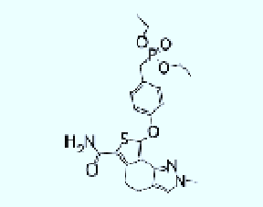 CCOP(=O)(Cc1ccc(Oc2sc(C(N)=O)c3c2-c2nn(C)cc2CC3)cc1)OCC